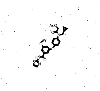 CC(=O)OCC(=O)N(CC1CC1)c1ccc(Oc2cc(OC(C)C)cc(C(=O)Nc3nccs3)c2)cc1